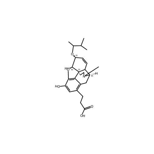 CC(C)C(C)O[C@H]1C=CC2[C@H]3Cc4c(CCC(=O)O)cc(O)c5c4[C@@]2(CCN3C)[C@H]1O5